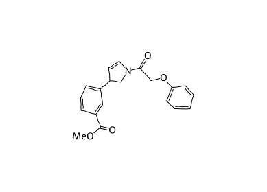 COC(=O)c1cccc(C2C=CN(C(=O)COc3ccccc3)C2)c1